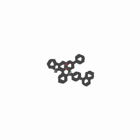 c1ccc(-c2cccc(N(c3ccc(-c4cccc5ccccc45)cc3)c3ccccc3-c3cccc4c3sc3ccccc34)c2)cc1